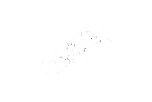 CC(=O)O[C@H]1CC[C@]2(C)C3CC[C@]4(C)[C@@H]([C@H](C)CC=O)CC[C@@]4(C)C3CCC2C1(C)C